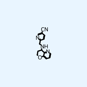 N#Cc1ccc(CNC2CCOc3cccnc32)nc1